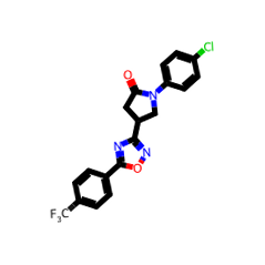 O=C1CC(c2noc(-c3ccc(C(F)(F)F)cc3)n2)CN1c1ccc(Cl)cc1